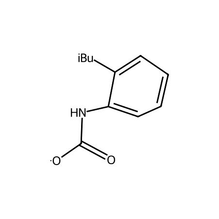 CCC(C)c1ccccc1NC([O])=O